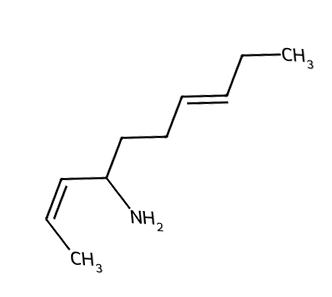 C/C=C\C(N)CC/C=C/CC